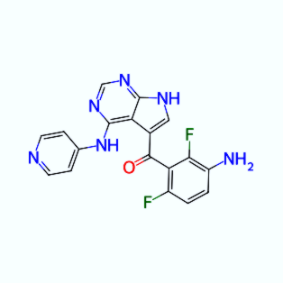 Nc1ccc(F)c(C(=O)c2c[nH]c3ncnc(Nc4ccncc4)c23)c1F